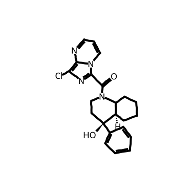 O=C(c1nc(Cl)c2ncccn12)N1CC[C@@](O)(c2ccccc2)[C@@H]2CCCCC21